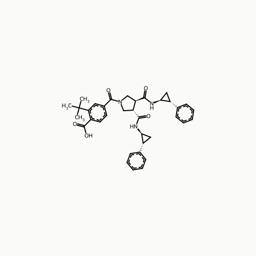 CC(C)(C)c1cc(C(=O)N2C[C@@H](C(=O)N[C@H]3C[C@@H]3c3ccccc3)[C@H](C(=O)N[C@H]3C[C@@H]3c3ccccc3)C2)ccc1C(=O)O